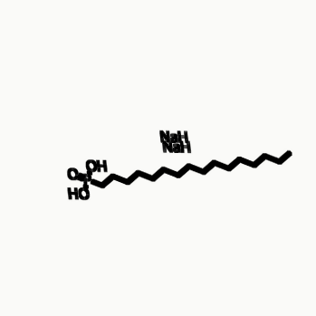 CCCCCCCCCCCCCCCCP(=O)(O)O.[NaH].[NaH]